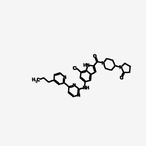 CCCc1ccnc(-c2ccnc(Nc3cc(Cl)c4[nH]c(C(=O)N5CCC(N6CCCC6=O)CC5)cc4c3)n2)c1